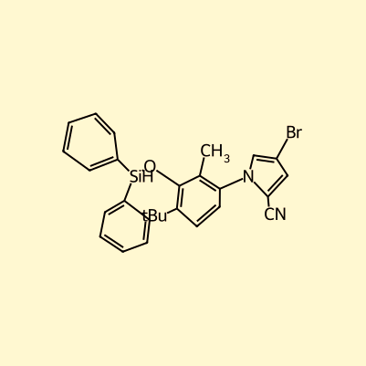 Cc1c(-n2cc(Br)cc2C#N)ccc(C(C)(C)C)c1O[SiH](c1ccccc1)c1ccccc1